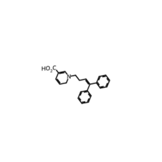 O=C(O)C1=CN(CCC=C(c2ccccc2)c2ccccc2)CC=C1